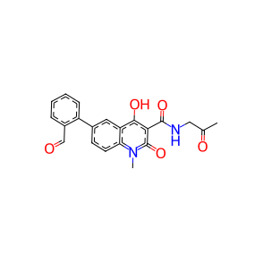 CC(=O)CNC(=O)c1c(O)c2cc(-c3ccccc3C=O)ccc2n(C)c1=O